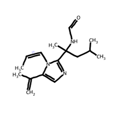 C=C(C)c1cnc(C(C)(CC(C)C)NC=O)n1/C=C\C